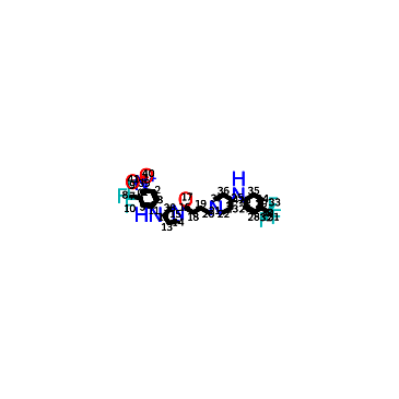 C=C(/C=C\C(=C/CC(F)(F)F)N[C@@H]1CCN(C(=O)CCCN2CCC(NC3C=CC(C(F)(F)F)=CC3)CC2)C1)[N+](=O)[O-]